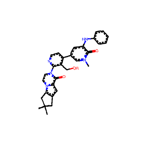 Cn1cc(-c2ccnc(-n3ccn4c5c(cc4c3=O)CC(C)(C)C5)c2CO)cc(Nc2ccccc2)c1=O